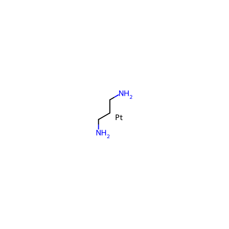 NCCCN.[Pt]